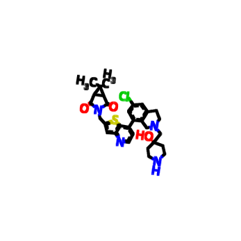 CC1(C)C2C(=O)N(Cc3cc4nccc(-c5cc(Cl)cc6c5CN(CC5(O)CCNCC5)CC6)c4s3)C(=O)C21